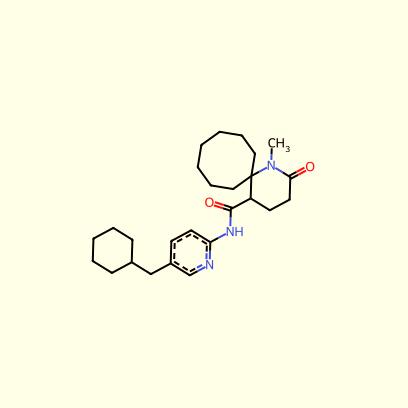 CN1C(=O)CCC(C(=O)Nc2ccc(CC3CCCCC3)cn2)C12CCCCCCC2